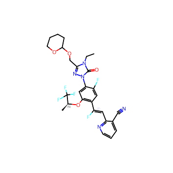 CCn1c(COC2CCCCO2)nn(-c2cc(O[C@@H](C)C(F)(F)F)c(/C(F)=C/c3ncccc3C#N)cc2F)c1=O